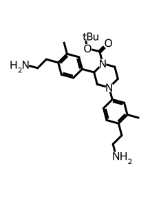 Cc1cc(C2CN(c3ccc(CCN)c(C)c3)CCN2C(=O)OC(C)(C)C)ccc1CCN